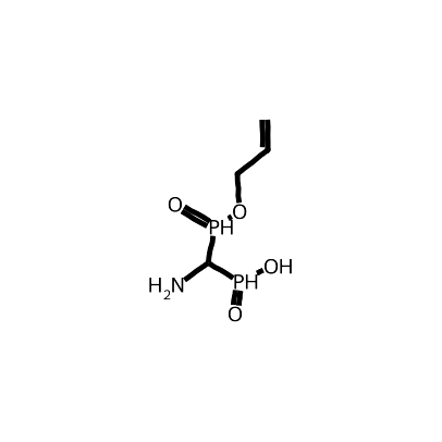 C=CCO[PH](=O)C(N)[PH](=O)O